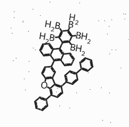 Bc1c(B)c(B)c(-c2c3ccccc3c(-c3ccc4oc5c(-c6ccccc6)ccc(-c6ccc(-c7ccccc7)cc6)c5c4c3)c3ccccc23)c(B)c1B